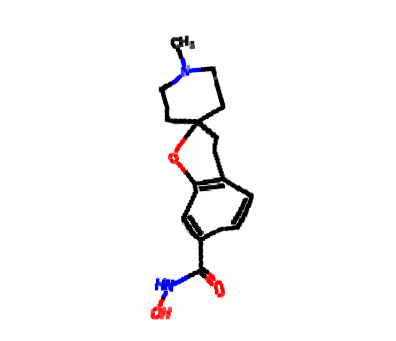 CN1CCC2(CC1)Cc1ccc(C(=O)NO)cc1O2